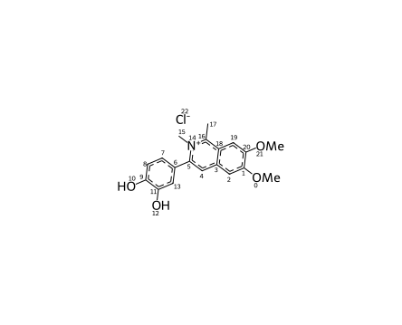 COc1cc2cc(-c3ccc(O)c(O)c3)[n+](C)c(C)c2cc1OC.[Cl-]